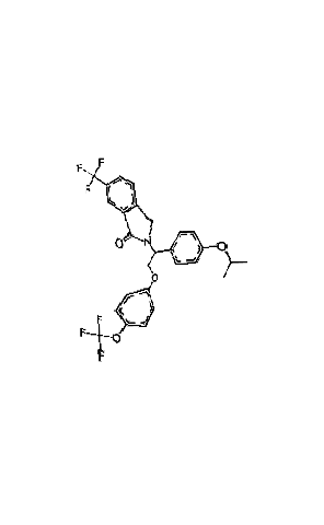 CC(C)Oc1ccc(C(COc2ccc(OC(F)(F)F)cc2)N2Cc3ccc(C(F)(F)F)cc3C2=O)cc1